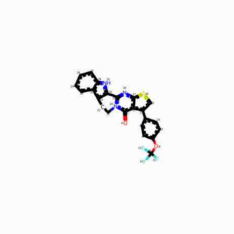 O=c1c2c(-c3ccc(OC(F)(F)F)cc3)csc2nc2n1CCc1c-2[nH]c2ccccc12